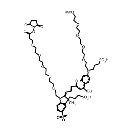 COCCOCCOCCOCCOCCN(CCCS(=O)(=O)O)c1ccc2c(C(C)(C)C)cc(/C=C/C=C3/N(CCOCCOCCOCCOCCOCCC(=O)ON4C(=O)CCC4=O)c4ccc(S(=O)(=O)[O-])cc4C3(C)CCCS(=O)(=O)O)[o+]c2c1